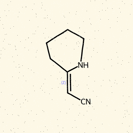 N#C/C=C1/CCCCN1